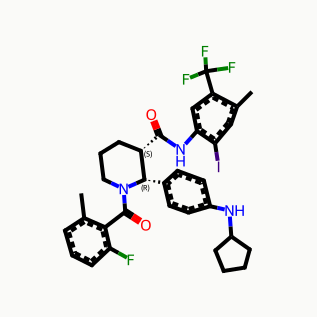 Cc1cc(I)c(NC(=O)[C@H]2CCCN(C(=O)c3c(C)cccc3F)[C@H]2c2ccc(NC3CCCC3)cc2)cc1C(F)(F)F